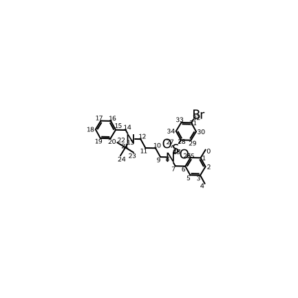 Cc1cc(C)cc(CN(CCCCN(Cc2ccccc2)C(C)(C)C)S(=O)(=O)c2ccc(Br)cc2)c1